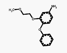 COCCOc1cc(N)ccc1Oc1ccccc1